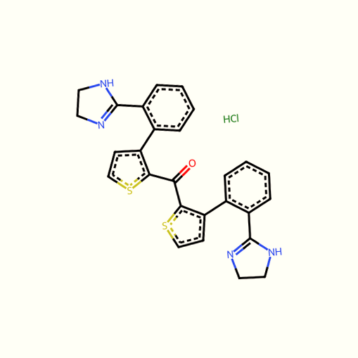 Cl.O=C(c1sccc1-c1ccccc1C1=NCCN1)c1sccc1-c1ccccc1C1=NCCN1